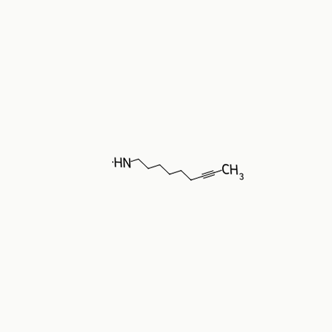 CC#CCCCCCC[NH]